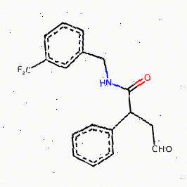 O=CCC(C(=O)NCc1cccc(C(F)(F)F)c1)c1ccccc1